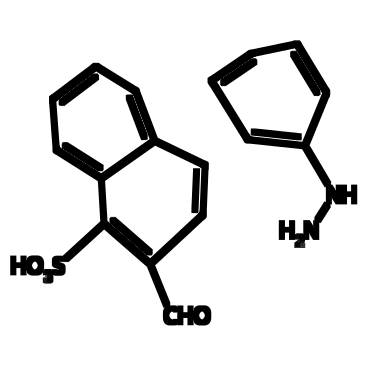 NNc1ccccc1.O=Cc1ccc2ccccc2c1S(=O)(=O)O